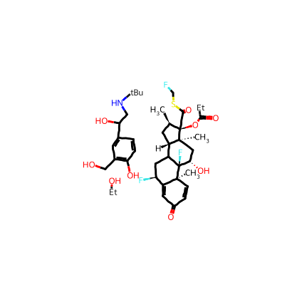 CC(C)(C)NCC(O)c1ccc(O)c(CO)c1.CCC(=O)O[C@]1(C(=O)SCF)[C@H](C)C[C@H]2C3C[C@H](F)C4=CC(=O)C=C[C@]4(C)[C@@]3(F)[C@@H](O)C[C@@]21C.CCO